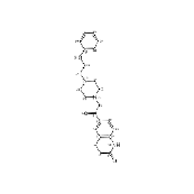 O=C1CCc2cc(C(=O)CN3CCN(CCOc4ccccc4)CC3)ccc2N1